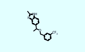 Cc1nc2cc(C(C)OCc3cccc(C(F)(F)F)c3)ccc2[nH]1